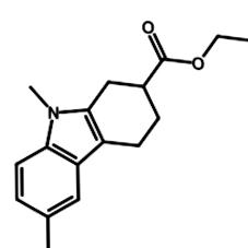 CCOC(=O)C1CCc2c(n(C)c3ccc(C)cc23)C1